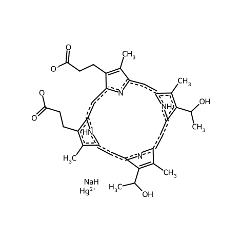 CC1=C(CCC(=O)[O-])c2cc3[nH]c(cc4nc(cc5[nH]c(cc1n2)c(C)c5C(C)O)C(C)=C4C(C)O)c(C)c3CCC(=O)[O-].[Hg+2].[NaH]